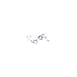 COC1CCCN1C(=O)c1cc2nccc(Oc3ccc4c(c3)cc(C)n4C(=O)NC3CC3)c2s1